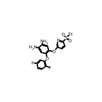 CCS(=O)(=O)c1ccc(Oc2cc(N)c(N)cc2Oc2cc(F)ccc2F)cn1